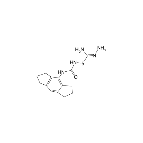 N/N=C(\N)SNC(=O)Nc1c2c(cc3c1CCC3)CCC2